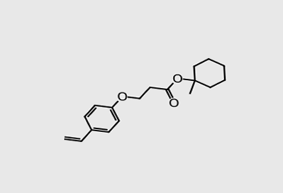 C=Cc1ccc(OCCC(=O)OC2(C)CCCCC2)cc1